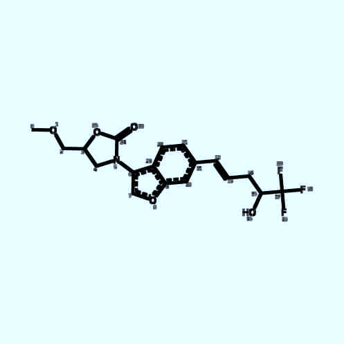 COCC1CN(c2coc3cc(C=CCC(O)C(F)(F)F)ccc23)C(=O)O1